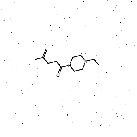 C=C(C)CCC(=O)N1CCN(CC)CC1